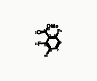 COC(=O)c1c(F)ccc(I)c1F